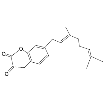 CC(C)=CCC/C(C)=C/Cc1ccc2c(c1)OC(=O)C(=O)C2